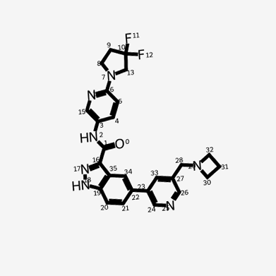 O=C(Nc1ccc(N2CCC(F)(F)C2)nc1)c1n[nH]c2ccc(-c3cncc(CN4CCC4)c3)cc12